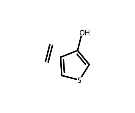 C=C.Oc1ccsc1